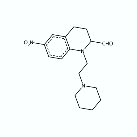 O=CC1CCc2cc([N+](=O)[O-])ccc2N1CCN1CCCCC1